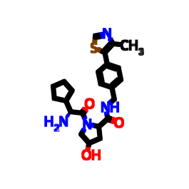 Cc1ncsc1-c1ccc(CNC(=O)C2CC(O)CN2C(=O)[C@H](N)C2CCCC2)cc1